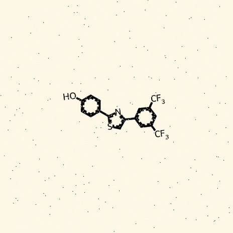 Oc1ccc(-c2nc(-c3cc(C(F)(F)F)cc(C(F)(F)F)c3)cs2)cc1